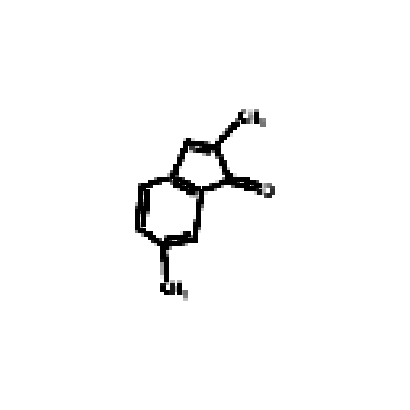 CC1=Cc2ccc(C)cc2C1=O